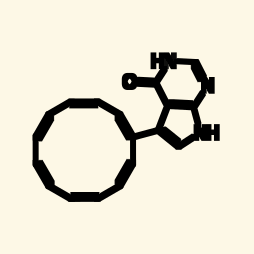 O=c1[nH]cnc2[nH]cc(C3=C/C=C\C=C/C=C\C=C/C=C\3)c12